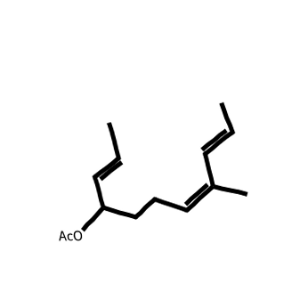 CC=CC(C)=CCCC(C=CC)OC(C)=O